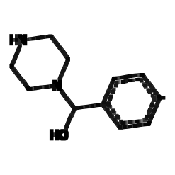 OC(c1cc[c]cc1)N1CCNCC1